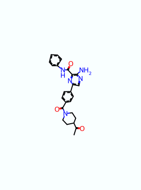 CC(=O)C1CCN(C(=O)c2ccc(-c3cnc(N)c(C(=O)Nc4ccccc4)n3)cc2)CC1